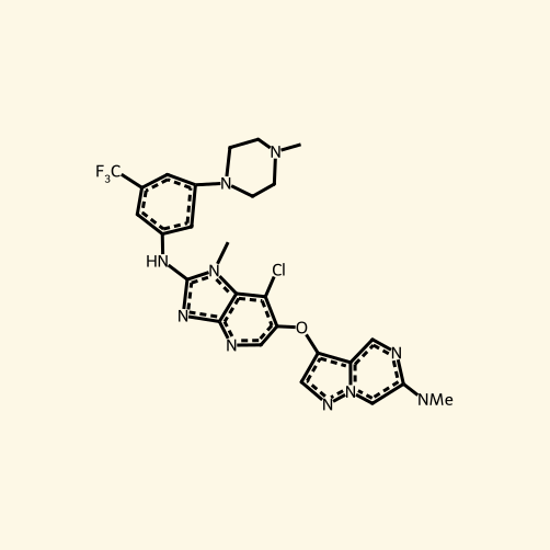 CNc1cn2ncc(Oc3cnc4nc(Nc5cc(N6CCN(C)CC6)cc(C(F)(F)F)c5)n(C)c4c3Cl)c2cn1